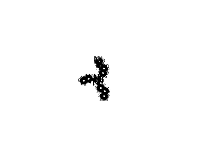 c1ccc2cc(-c3nc(-c4ccc5c(ccc6ccccc65)c4)nc(-c4ccc5ccc6c7ccncc7sc6c5c4)n3)ccc2c1